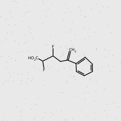 C=C(CC(F)C(F)C(=O)O)c1ccccc1